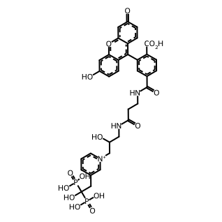 O=C(CCNC(=O)c1ccc(C(=O)O)c(-c2c3ccc(=O)cc-3oc3cc(O)ccc23)c1)NCC(O)C[n+]1cccc(CC(O)(P(=O)(O)O)P(=O)(O)O)c1